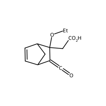 CCOC1(CC(=O)O)C(=C=O)C2C=CC1C2